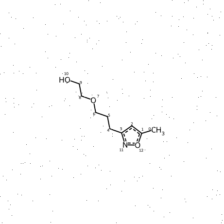 Cc1cc(CCCOCCO)no1